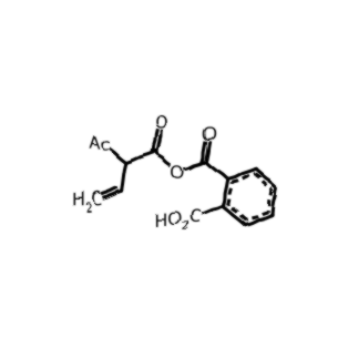 C=CC(C(C)=O)C(=O)OC(=O)c1ccccc1C(=O)O